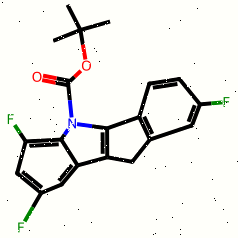 CC(C)(C)OC(=O)n1c2c(c3cc(F)cc(F)c31)Cc1cc(F)ccc1-2